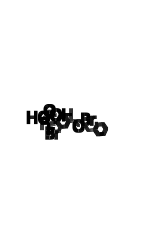 O=P(O)(O)C(F)(F)c1ccc(COCCc2ccccc2Br)cc1Br